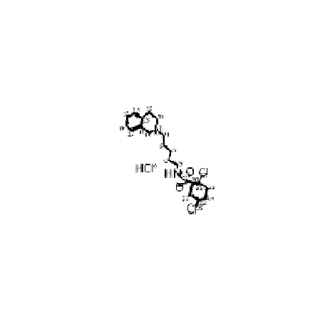 Cl.O=S(=O)(NCCCCCN1CCc2ccccc2C1)c1cc(Cl)ccc1Cl